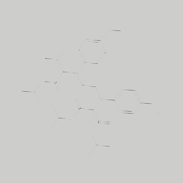 COc1ccc(N(CCN(c2ccc(OC)cc2)C(C(=O)OC(C)C)C(C)C)C(C(=O)OC(C)C)C(=O)OC(C)C)cc1